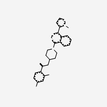 Cn1nccc1-c1nnc(N2CCC(CC(=O)c3ccc(F)cc3C(F)(F)F)CC2)c2ccccc12